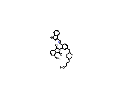 O=C1c2cccc([N+](=O)[O-])c2C(=O)N1c1cc(CN2CCN(CCCO)CC2)ccc1/C=C/c1n[nH]c2ccccc12